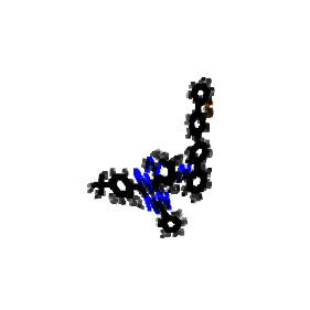 CC(C)(C)c1ccc(-c2nc(-c3ccccc3)nc(-c3cc(-n4c5ccccc5c5ccc(-c6ccc7c(c6)sc6ccccc67)cc54)ccn3)n2)cc1